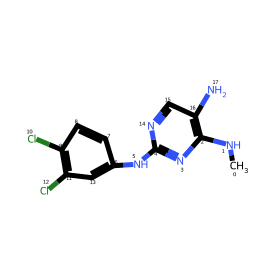 CNc1nc(Nc2ccc(Cl)c(Cl)c2)ncc1N